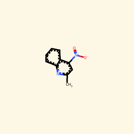 Cc1cc([N+](=O)[O-])c2ccccc2n1